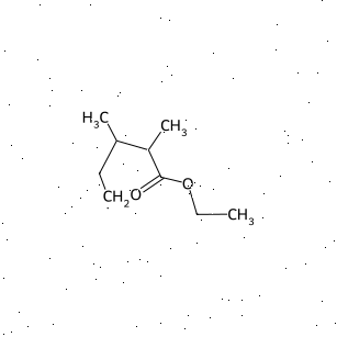 [CH2]CC(C)C(C)C(=O)OCC